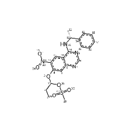 CCC(Oc1cc2ncnc(N[C@H](C)c3ccccc3)c2cc1[N+](=O)[O-])OS(C)(=O)=O